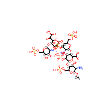 CO[C@H]1OC(COS(=O)(=O)O)[C@@H](O[C@@H]2OC(C(=O)O)[C@@H](O[C@H]3OC(COS(=O)(=O)O)[C@@H](O[C@@H]4OC(C(=O)C(=O)O)[C@@H](O[C@H]5OC(COS(=O)(=O)O)[C@@H](O)[C@H](O)C5N)C(O)[C@@H]4O)[C@H](OS(=O)(=O)O)C3N)[C@H](O)C2OS(=O)(=O)O)[C@H](O)C1N